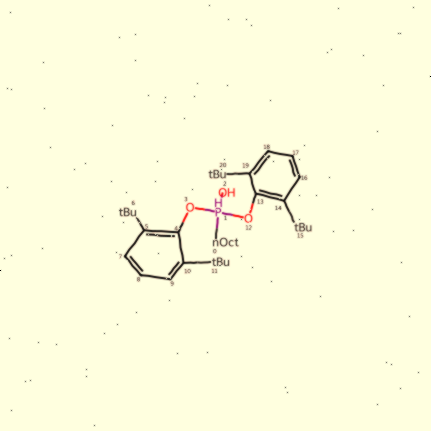 CCCCCCCC[PH](O)(Oc1c(C(C)(C)C)cccc1C(C)(C)C)Oc1c(C(C)(C)C)cccc1C(C)(C)C